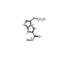 CCOC(=O)Cc1csc2nc(C(=O)OC)cn12